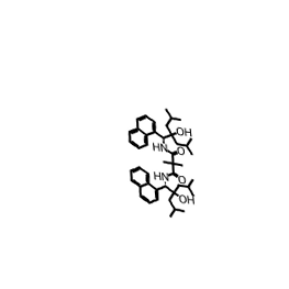 CC(C)CC(O)(CC(C)C)[C@@H](NC(=O)C(C)(C)C(=O)N[C@@H](c1cccc2ccccc12)C(O)(CC(C)C)CC(C)C)c1cccc2ccccc12